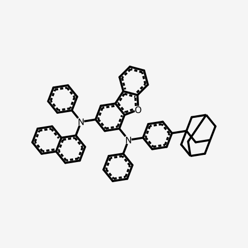 c1ccc(N(c2cc(N(c3ccccc3)c3ccc(C45CC6CC(CC(C6)C4)C5)cc3)c3oc4ccccc4c3c2)c2cccc3ccccc23)cc1